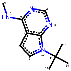 CNc1ncnc2c1ccn2C(C)(C)C